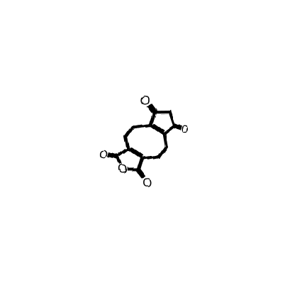 O=C1CC(=O)C2=C1CCC1=C(CC2)C(=O)OC1=O